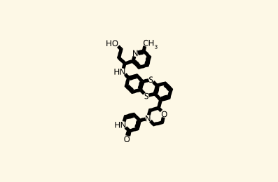 Cc1cccc(C(CCO)Nc2ccc3c(c2)Sc2cccc(C4CN(c5cc[nH]c(=O)c5)CCO4)c2S3)n1